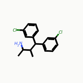 CC(N)C(C)C(c1cccc(Cl)c1)c1cccc(Cl)c1